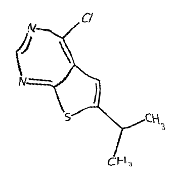 CC(C)c1cc2c(Cl)ncnc2s1